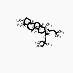 C=C(C)CCC[C@]1(C(=O)OCC(C)(CO)CO)CC[C@]2(C)[C@H](CC[C@@H]3[C@@]4(C)CC[C@H](OC(C)=O)C(C)(C)C4CC[C@]32C)[C@H]1C